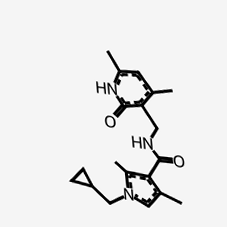 Cc1cc(C)c(CNC(=O)c2c(C)cn(CC3CC3)c2C)c(=O)[nH]1